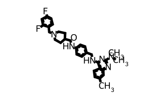 Cc1ccc2c(NCc3ccc(NC(=O)C4CCN(Cc5ccc(F)cc5F)CC4)cc3)nc(N(C)C)nc2c1